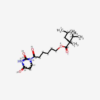 CC(C)CC(C)(C(=O)OCCCCCC(=O)n1ccc(=O)[nH]c1=O)C(C)C